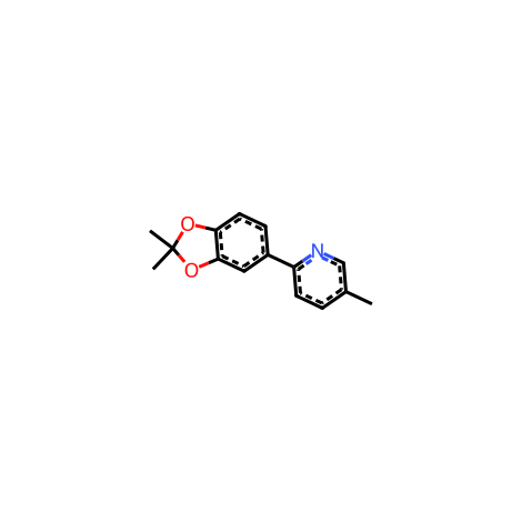 Cc1ccc(-c2ccc3c(c2)OC(C)(C)O3)nc1